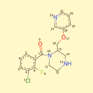 O=C(c1cccc(Cl)c1F)N1CCNCC1COc1cccnc1